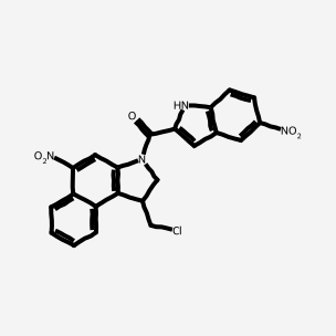 O=C(c1cc2cc([N+](=O)[O-])ccc2[nH]1)N1CC(CCl)c2c1cc([N+](=O)[O-])c1ccccc21